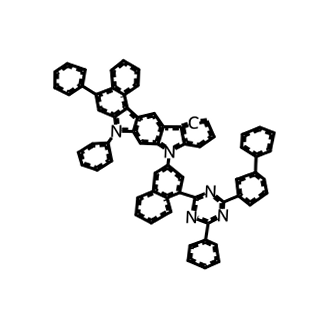 c1ccc(-c2cccc(-c3nc(-c4ccccc4)nc(-c4cc(-n5c6ccccc6c6cc7c8c9ccccc9c(-c9ccccc9)cc8n(-c8ccccc8)c7cc65)cc5ccccc45)n3)c2)cc1